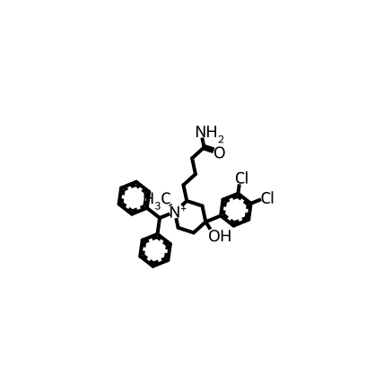 C[N+]1(C(c2ccccc2)c2ccccc2)CCC(O)(c2ccc(Cl)c(Cl)c2)CC1CCCC(N)=O